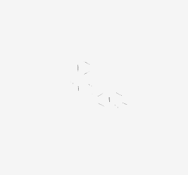 O=C([C@H](NSc1ccc2[nH]c(=O)ccc2c1)c1ccccc1)N1CCOCC1